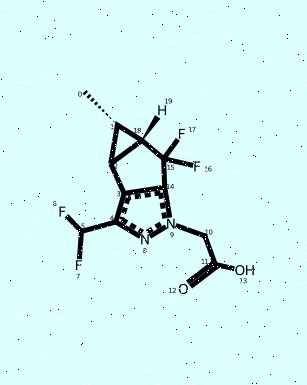 C[C@H]1C2c3c(C(F)F)nn(CC(=O)O)c3C(F)(F)[C@H]21